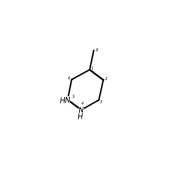 CC1CCNNC1